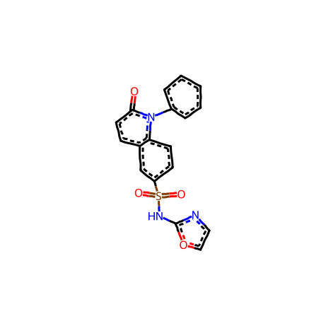 O=c1ccc2cc(S(=O)(=O)Nc3ncco3)ccc2n1-c1ccccc1